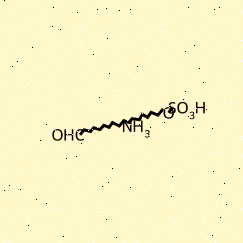 N.O=CCCCCCCCCCCCCCCCCCOS(=O)(=O)O